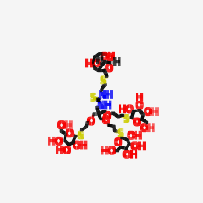 OCC1O[C@H](SCCCOCC(CNC(=S)NCCSCC2O[C@@H]3OCCCCCC2[C@H](O)C3O)(COCCCS[C@@H]2OC(CO)[C@@H](O)[C@H](O)C2O)COCCCS[C@@H]2OC(CO)[C@@H](O)[C@H](O)C2O)C(O)[C@@H](O)[C@@H]1O